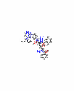 CN(C)c1ccnc(N[C@H]2CC[C@@H](NC(=O)[C@H](CCCCNC(=O)c3ccccc3)NC(=O)c3ccccc3)CC2)n1